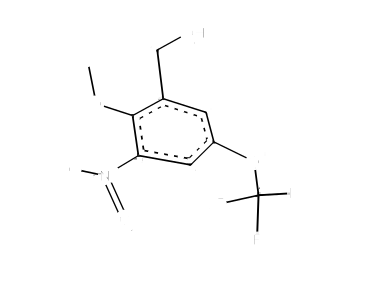 COc1c(CO)cc(OC(F)(F)F)cc1[N+](=O)[O-]